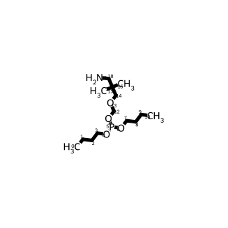 CCCCOP(OCCCC)OCOCC(C)(C)CN